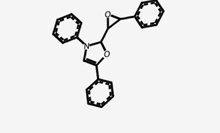 C1=C(c2ccccc2)OC(C2OC2c2ccccc2)N1c1ccccc1